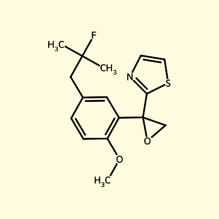 COc1ccc(CC(C)(C)F)cc1C1(c2nccs2)CO1